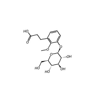 COc1c(CCC(=O)O)cccc1O[C@@H]1O[C@H](CO)[C@@H](O)[C@H](O)[C@H]1O